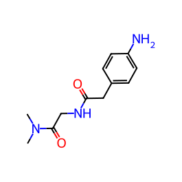 CN(C)C(=O)CNC(=O)Cc1ccc(N)cc1